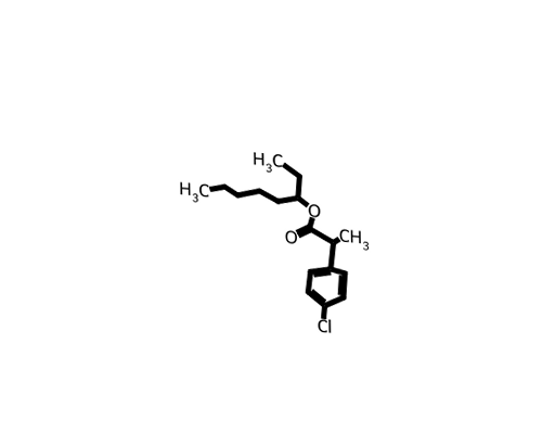 CCCCCC(CC)OC(=O)C(C)c1ccc(Cl)cc1